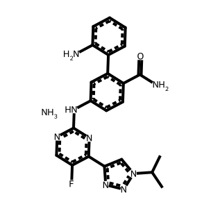 CC(C)n1cc(-c2nc(Nc3ccc(C(N)=O)c(-c4ccccc4N)c3)ncc2F)nn1.N